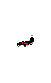 COc1ccc(COC[C@@H](OC(=O)N2CCC3(CC2)C[C@H](n2cc(F)cn2)CO3)C(F)(F)F)cc1